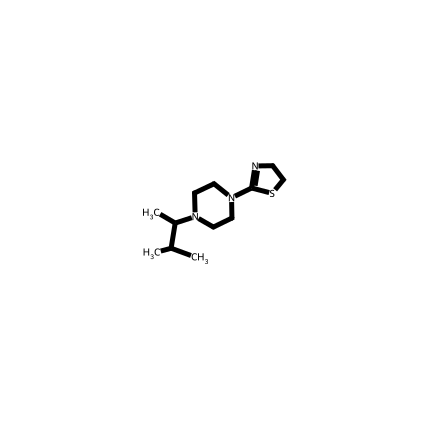 CC(C)C(C)N1CCN(C2=NCCS2)CC1